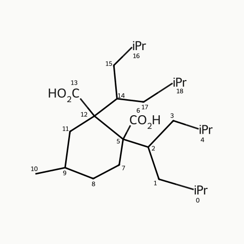 CC(C)CC(CC(C)C)C1(C(=O)O)CCC(C)CC1(C(=O)O)C(CC(C)C)CC(C)C